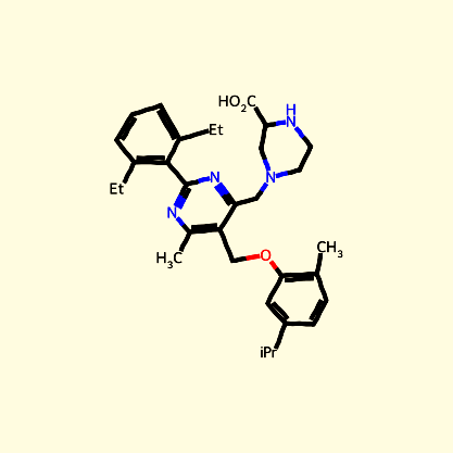 CCc1cccc(CC)c1-c1nc(C)c(COc2cc(C(C)C)ccc2C)c(CN2CCNC(C(=O)O)C2)n1